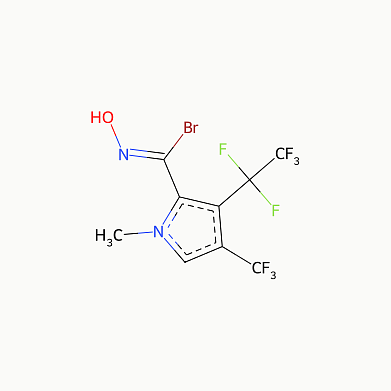 Cn1cc(C(F)(F)F)c(C(F)(F)C(F)(F)F)c1/C(Br)=N/O